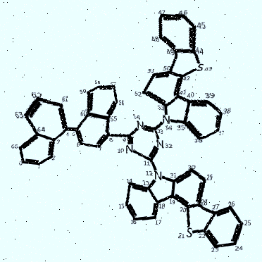 c1ccc2c(-c3ccc(-c4nc(-n5c6ccccc6c6c7sc8ccccc8c7ccc65)nc(-n5c6ccccc6c6c7sc8ccccc8c7ccc65)n4)c4ccccc34)cccc2c1